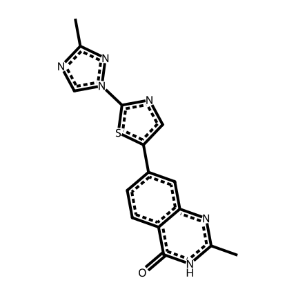 Cc1ncn(-c2ncc(-c3ccc4c(=O)[nH]c(C)nc4c3)s2)n1